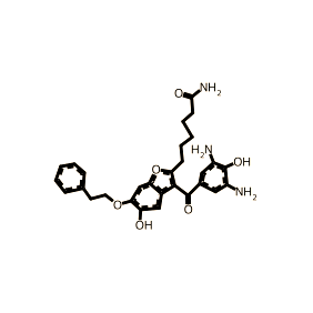 NC(=O)CCCCCc1oc2cc(OCCc3ccccc3)c(O)cc2c1C(=O)c1cc(N)c(O)c(N)c1